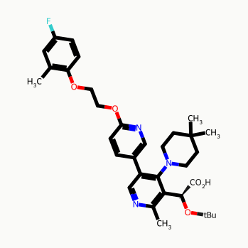 Cc1cc(F)ccc1OCCOc1ccc(-c2cnc(C)c([C@H](OC(C)(C)C)C(=O)O)c2N2CCC(C)(C)CC2)cn1